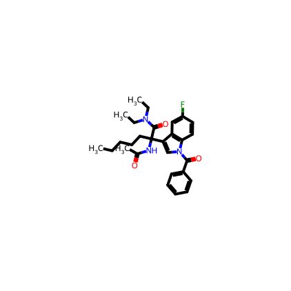 CCCCCC(NC(C)=O)(C(=O)N(CC)CC)c1cn(C(=O)c2ccccc2)c2ccc(F)cc12